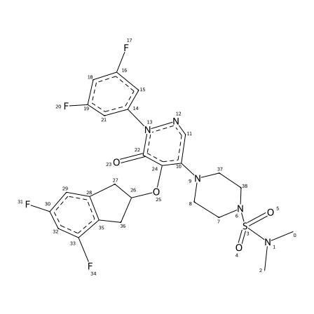 CN(C)S(=O)(=O)N1CCN(c2cnn(-c3cc(F)cc(F)c3)c(=O)c2OC2Cc3cc(F)cc(F)c3C2)CC1